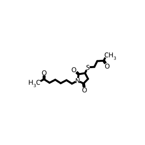 CC(=O)CCCCCN1C(=O)CC(SCCC(C)=O)C1=O